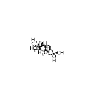 C#CC1(O)CC[C@@]2(C)C(CC[C@H]3[C@@H]4CC[C@H](C(C)O)[C@@]4(C)CC[C@@H]32)C1